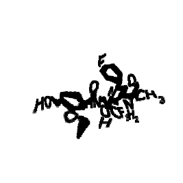 CC1(N)COc2c1cc(C(O)(CNC(=O)c1ccc(CCO)c(OC3CC3)c1)C(F)(F)F)nc2-c1ccc(F)cc1